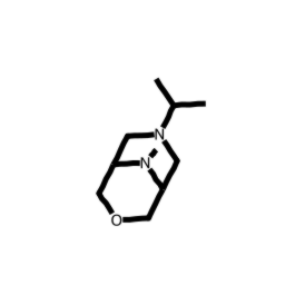 CC(C)N1CC2COCC(C1)N2C